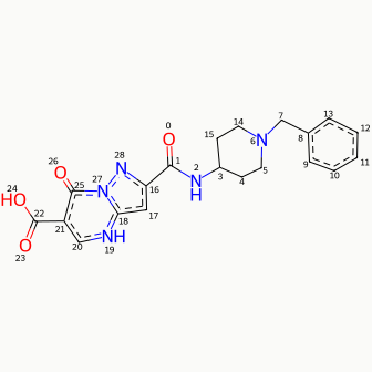 O=C(NC1CCN(Cc2ccccc2)CC1)c1cc2[nH]cc(C(=O)O)c(=O)n2n1